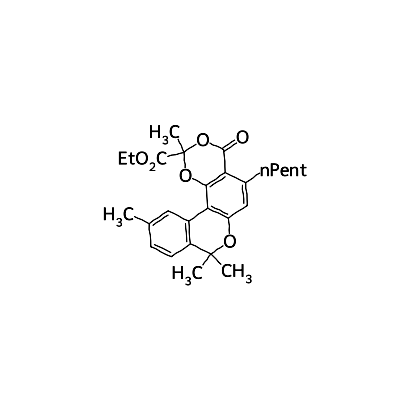 CCCCCc1cc2c(c3c1C(=O)OC(C)(C(=O)OCC)O3)-c1cc(C)ccc1C(C)(C)O2